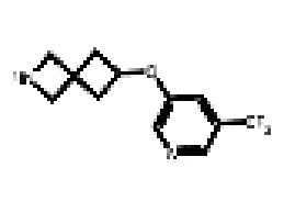 FC(F)(F)c1cncc(OC2CC3(CNC3)C2)c1